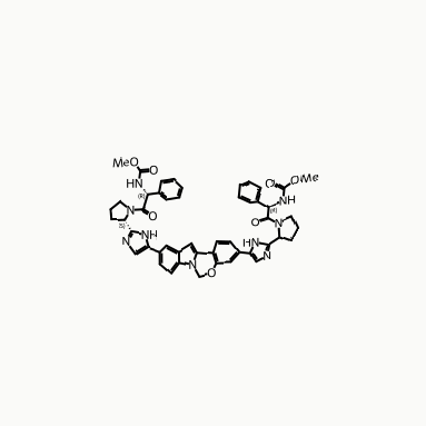 COC(=O)N[C@@H](C(=O)N1CCCC1c1ncc(-c2ccc3c(c2)OCn2c-3cc3cc(-c4cnc([C@@H]5CCCN5C(=O)[C@H](NC(=O)OC)c5ccccc5)[nH]4)ccc32)[nH]1)c1ccccc1